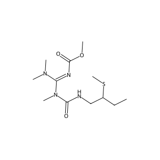 CCC(CNC(=O)N(C)C(=NC(=O)OC)N(C)C)SC